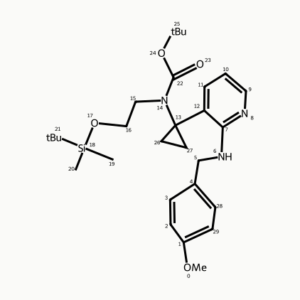 COc1ccc(CNc2ncccc2C2(N(CCO[Si](C)(C)C(C)(C)C)C(=O)OC(C)(C)C)CC2)cc1